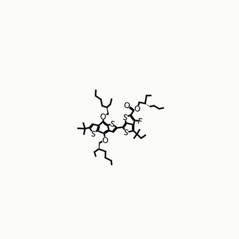 CCCC[C@@H](CC)COC(=O)c1sc2c(-c3cc4c(OC[C@H](CC)CCCC)c5sc(C(C)(C)C)cc5c(OC[C@H](CC)CCCC)c4s3)sc(C(C)(C)CC)c2c1F